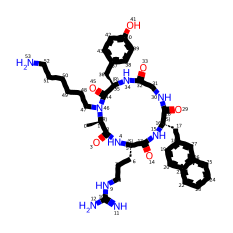 C[C@@H]1C(=O)N[C@@H](CCCNC(=N)N)C(=O)N[C@@H](Cc2ccc3ccccc3c2)C(=O)NCC(=O)N[C@H](Cc2ccc(O)cc2)C(=O)N1CCCCCCN